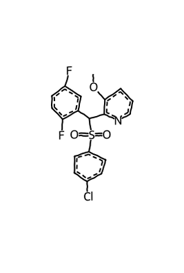 COc1cccnc1C(c1cc(F)ccc1F)S(=O)(=O)c1ccc(Cl)cc1